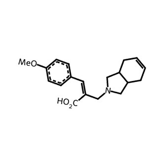 COc1ccc(C=C(CN2CC3CC=CCC3C2)C(=O)O)cc1